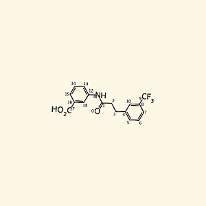 O=C(CCc1cccc(C(F)(F)F)c1)Nc1cccc(C(=O)O)c1